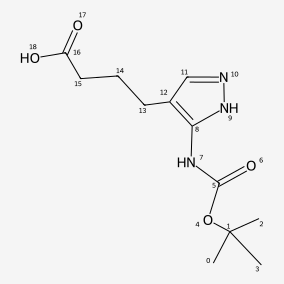 CC(C)(C)OC(=O)Nc1[nH]ncc1CCCC(=O)O